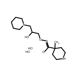 CC1(C(Cl)=NOCC(O)CN2CCCCC2)CCNCC1.Cl.Cl